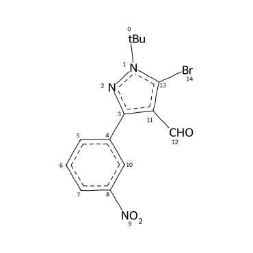 CC(C)(C)n1nc(-c2cccc([N+](=O)[O-])c2)c(C=O)c1Br